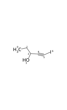 CCC(O)C#CI